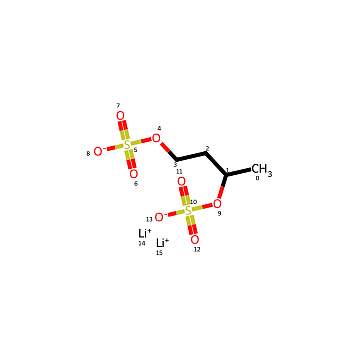 CC(CCOS(=O)(=O)[O-])OS(=O)(=O)[O-].[Li+].[Li+]